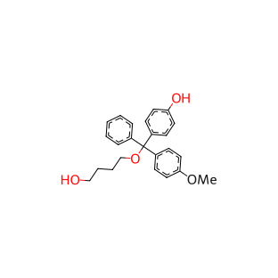 COc1ccc(C(OCCCCO)(c2ccccc2)c2ccc(O)cc2)cc1